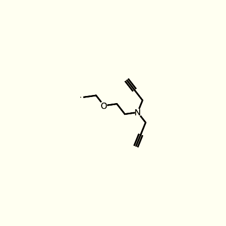 C#CCN(CC#C)CCOC[CH2]